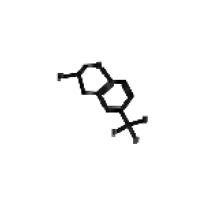 FC1[CH]Sc2ccc(C(F)(F)F)cc2C1